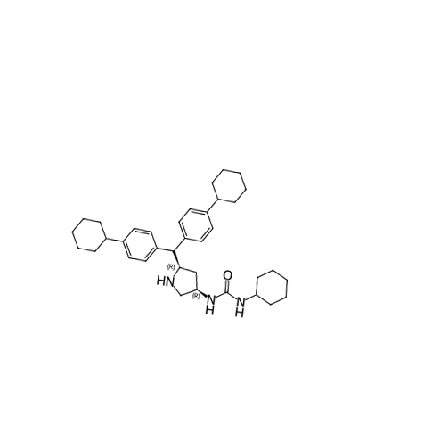 O=C(NC1CCCCC1)N[C@H]1CN[C@@H](C(c2ccc(C3CCCCC3)cc2)c2ccc(C3CCCCC3)cc2)C1